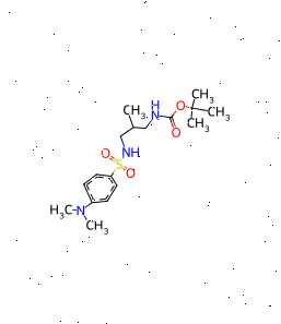 CC(CNC(=O)OC(C)(C)C)CNS(=O)(=O)c1ccc(N(C)C)cc1